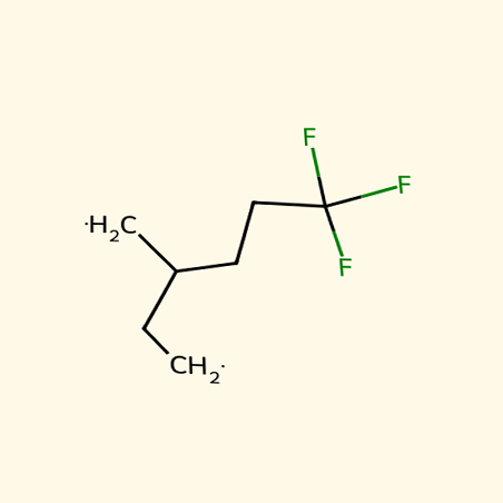 [CH2]CC([CH2])CCC(F)(F)F